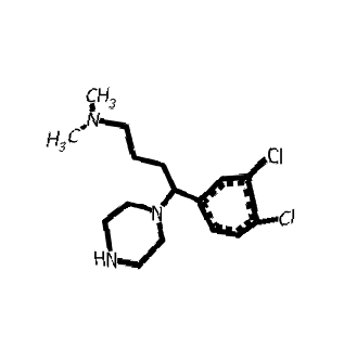 CN(C)CCCC(c1ccc(Cl)c(Cl)c1)N1CCNCC1